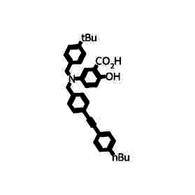 CCCCc1ccc(C#Cc2ccc(CN(Cc3ccc(C(C)(C)C)cc3)c3ccc(O)c(C(=O)O)c3)cc2)cc1